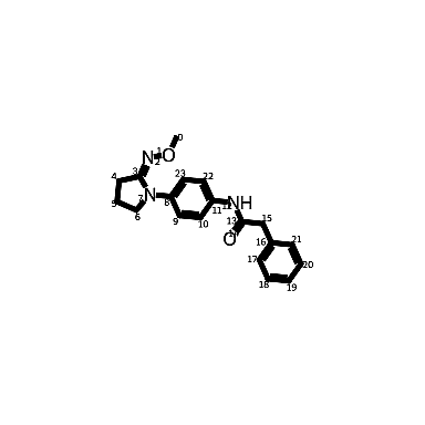 CO/N=C1/CCCN1c1ccc(NC(=O)Cc2ccccc2)cc1